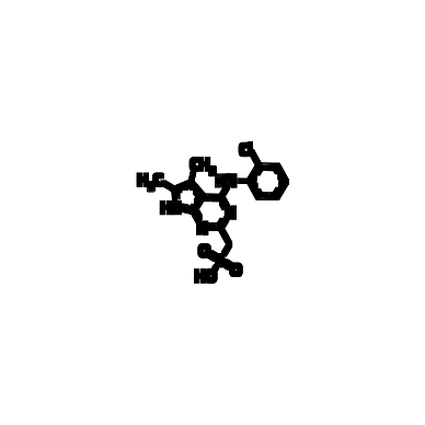 Cc1[nH]c2nc(CS(=O)(=O)O)nc(Nc3ccccc3Cl)c2c1C